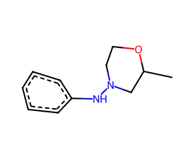 CC1CN(Nc2ccccc2)CCO1